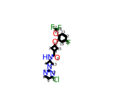 O=C(NC1CN(c2nccc(Cl)n2)C1)C1CC(Oc2cc(F)ccc2OC(F)F)C1